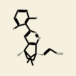 CC1(C)[C@H]2CC[C@]1(C=CC=O)c1nnc(-c3c(F)cccc3F)cc12